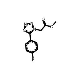 COC(=O)Cn1nnnc1-c1ccc(F)cc1